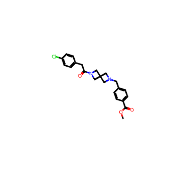 COC(=O)c1ccc(CN2CC3(C2)CN(C(=O)Cc2ccc(Cl)cc2)C3)cc1